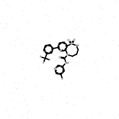 O=C(Nc1cncc(F)c1)N1CCCNS(=O)(=O)c2ccc(-c3cccc(C(F)(F)F)c3)nc21